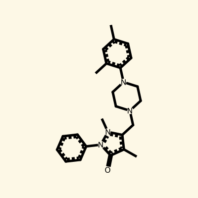 Cc1ccc(N2CCN(Cc3c(C)c(=O)n(-c4ccccc4)n3C)CC2)c(C)c1